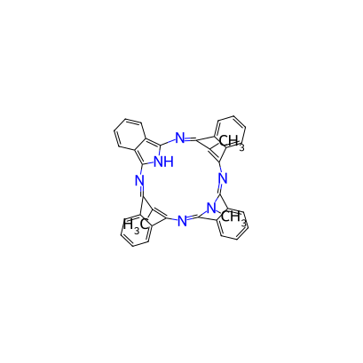 Cc1c2nc3[nH]c(nc4c(C)c(nc5c6ccccc6c(nc1-c1ccccc1-2)n5C)-c1ccccc1-4)c1ccccc31